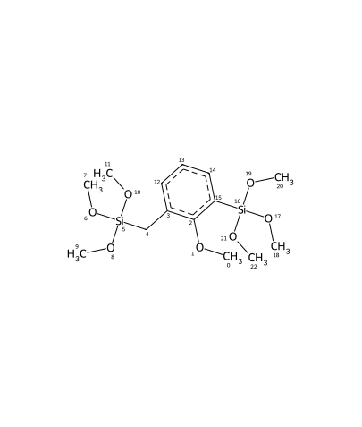 COc1c(C[Si](OC)(OC)OC)cccc1[Si](OC)(OC)OC